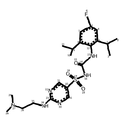 CC(C)c1cc(F)cc(C(C)C)c1NC(=O)NS(=O)(=O)c1cnc(NCCN(C)C)nc1